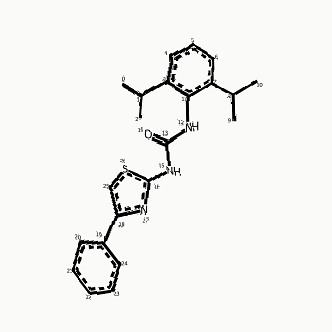 CC(C)c1cccc(C(C)C)c1NC(=O)Nc1nc(-c2ccccc2)cs1